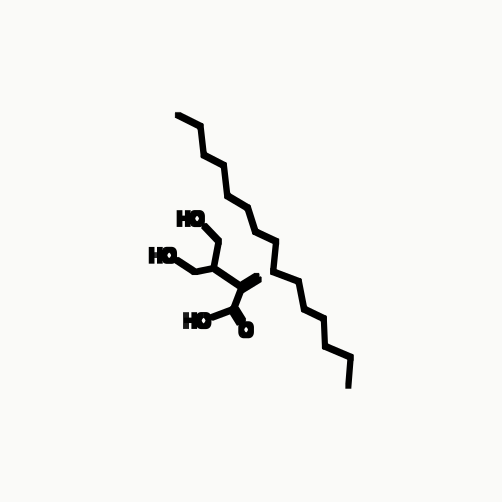 C=C(C(=O)O)C(CO)CO.CCCCCCCCCCCCCCC